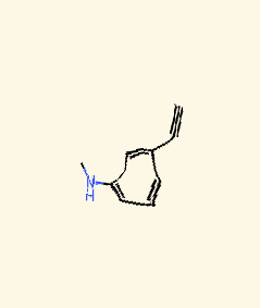 C#Cc1cccc(NC)c1